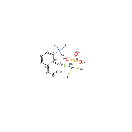 C[N+](C)(C)c1cccc2ccccc12.O=S(=O)([O-])C(F)(F)F